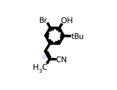 C/C(C#N)=C/c1cc(Br)c(O)c(C(C)(C)C)c1